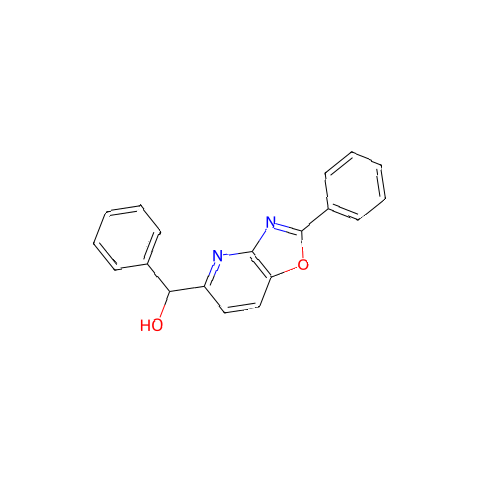 OC(c1ccccc1)c1ccc2oc(-c3ccccc3)nc2n1